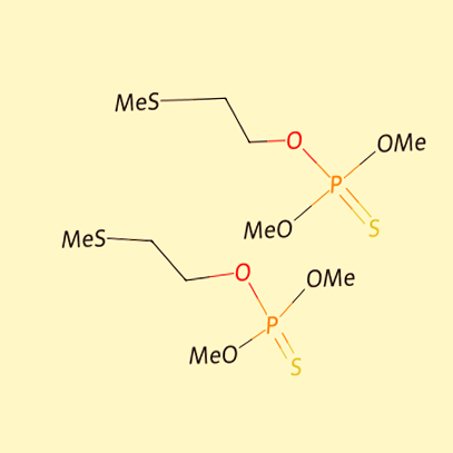 COP(=S)(OC)OCCSC.COP(=S)(OC)OCCSC